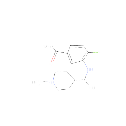 COC(=O)c1ccc(F)c(NC(C)C2CCN(C(=O)O)CC2)c1